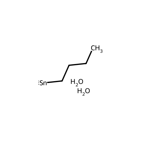 CCC[CH2][Sn].O.O